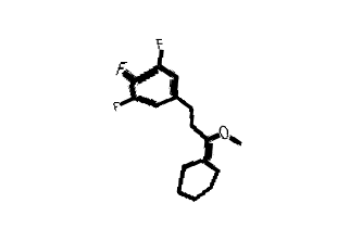 COC(CCc1cc(F)c(F)c(F)c1)=C1CCCCC1